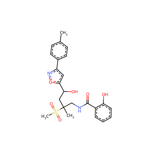 Cc1ccc(-c2cc(C(O)CC(C)(CNC(=O)c3ccccc3O)S(C)(=O)=O)on2)cc1